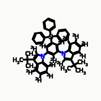 [2H]c1c(-n2c([2H])c(C(C)(C)C)c3c([2H])c([2H])c([2H])c([2H])c32)c([2H])c([Si](c2ccccc2)(c2ccccc2)c2ccccc2)c([2H])c1-n1c([2H])c(C(C)(C)C)c2c([2H])c([2H])c([2H])c([2H])c21